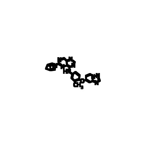 Cc1cc(Nc2ncnc3cnc(N4CC5CC(C4)O5)nc23)ccc1Oc1ccn2ncnc2c1